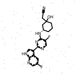 N#CCC1(O)CCC[C@H](Nc2nc(-c3c[nH]c4ncc(F)cc34)ncc2F)C1